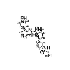 CC(C)CC(=O)Nc1cncc(-c2ccc3[nH]nc(-c4nc5c(N6CCN(C)CC6)cncc5[nH]4)c3n2)c1